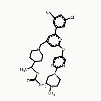 CC(OC(N)=O)C1CCN(Cc2cc(Oc3cnc(N4CCN(C)CC4)nc3)nc(-c3cc(Cl)cc(Cl)c3)c2)CC1